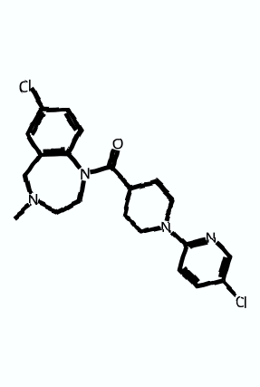 CN1CCN(C(=O)C2CCN(c3ccc(Cl)cn3)CC2)c2ccc(Cl)cc2C1